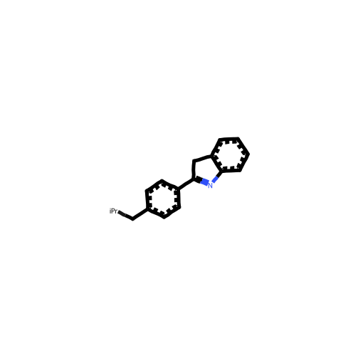 CC(C)Cc1ccc(C2=Nc3ccccc3C2)cc1